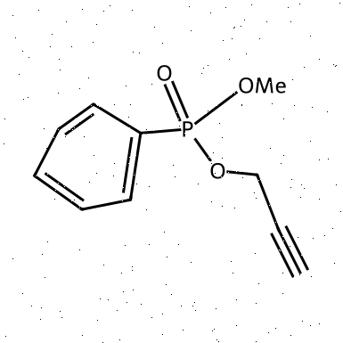 C#CCOP(=O)(OC)c1ccccc1